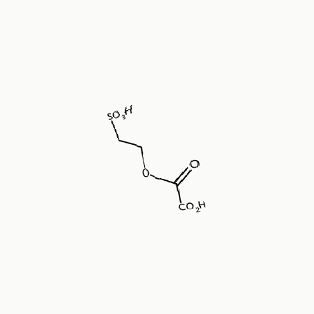 O=C(O)C(=O)OCCS(=O)(=O)O